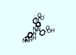 COC(=O)N1c2ccc3c(nc(Nc4ccc5cn[nH]c5c4)n3[C@@H]3CCC[C@@H](C(=O)O)C3)c2CC[C@@H]1C